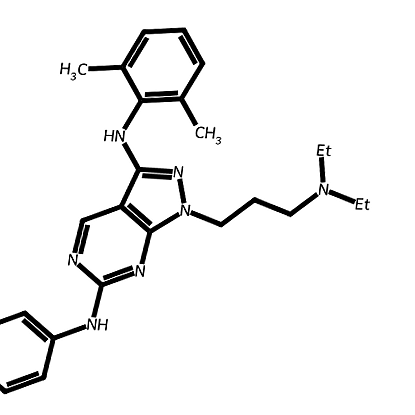 CCN(CC)CCCn1nc(Nc2c(C)cccc2C)c2cnc(Nc3ccccc3)nc21